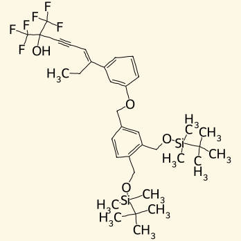 CC/C(=C\C#CC(O)(C(F)(F)F)C(F)(F)F)c1cccc(OCc2ccc(CO[Si](C)(C)C(C)(C)C)c(CO[Si](C)(C)C(C)(C)C)c2)c1